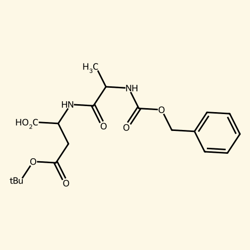 CC(NC(=O)OCc1ccccc1)C(=O)NC(CC(=O)OC(C)(C)C)C(=O)O